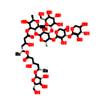 B[C@@H]1O[C@H](C)[C@H](O)[C@H](OC(=O)C[C@@H](O)C[C@H](OC(=O)C[C@@H](O)C[C@H](O[C@@H]2O[C@@H](CO)[C@H](O)[C@H]2O)[C@@H](C)CC)[C@@H](C)CC)[C@H]1O[C@@H]1O[C@@H](C)[C@H](OC2=C(O)[C@@H](OC3=C(O)[C@@H](O)[C@H](O)CO3)[C@H](O)CO2)[C@@H](O[C@@H]2O[C@H](CO)[C@@H](O)[C@H](O)[C@H]2O)[C@H]1O